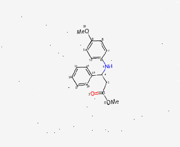 COC(=O)CC(Nc1ccc(OC)cc1)c1ccccc1